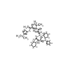 CC(C)c1nc(CN(C)C(=O)N[C@H](C(=O)N[C@H](CC[C@H](Cc2ccccc2)NC(=O)OCc2cccs2)Cc2ccccc2)C(C)C)cs1